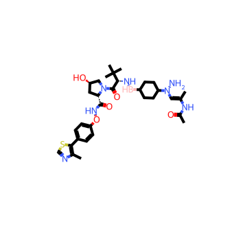 CC(=O)N/C(C)=C/N(N)C1CCC(BN[C@H](C(=O)N2C[C@H](O)C[C@H]2C(=O)NOc2ccc(-c3scnc3C)cc2)C(C)(C)C)CC1